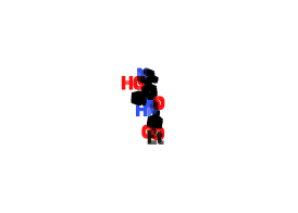 CCS(=O)(=O)c1ccc(CNC(=O)N2CC3(CCCC3)c3cc(-c4c(C)ccnc4O)ccc32)cc1